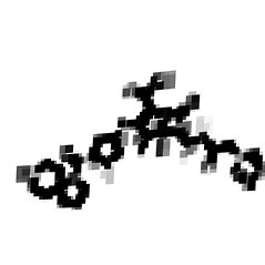 C[C@@H](NC(=O)Cn1cnnn1)[C@H]1C(=O)N2C(C(=O)O)=C(S[C@@H]3CN[C@H](C(=O)N4CCCC45CCNCC5)C3)[C@H](C)[C@H]12